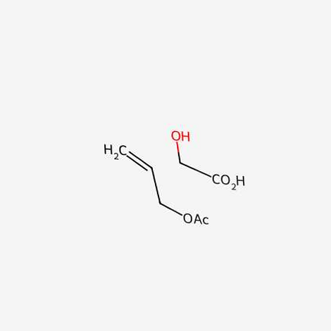 C=CCOC(C)=O.O=C(O)CO